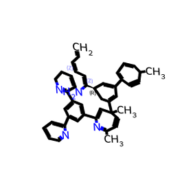 C=C/C=C\C=C(/N)[C@H]1C=C(C2=CC=CC(C)C#C2)C=C(C2(C)C#CC(C)=NC(c3cc(C4=NCCC=C4)cc(-c4ccccn4)c3)=C2)C1